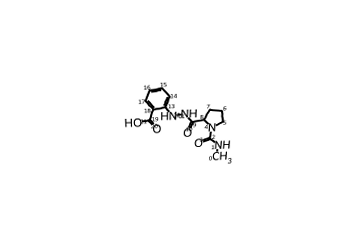 CNC(=O)N1CCCC1C(=O)NNc1ccccc1C(=O)O